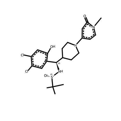 Cn1ccc(N2CCC([C@@H](N[S@@+]([O-])C(C)(C)C)c3cc(Cl)c(Cl)cc3O)CC2)cc1=O